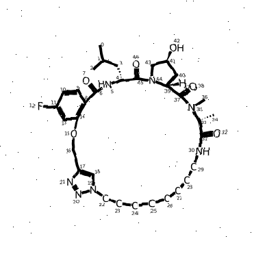 CC(C)C[C@H]1NC(=O)c2ccc(F)cc2OCc2cn(nn2)CCCCCCCCNC(=O)[C@@H](C)N(C)C(=O)[C@H]2C[C@H](O)CN2C1=O